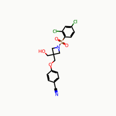 N#Cc1ccc(OCC2(CO)CN(S(=O)(=O)c3ccc(Cl)cc3Cl)C2)cc1